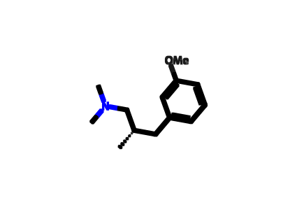 COc1cccc(C[C@H](C)CN(C)C)c1